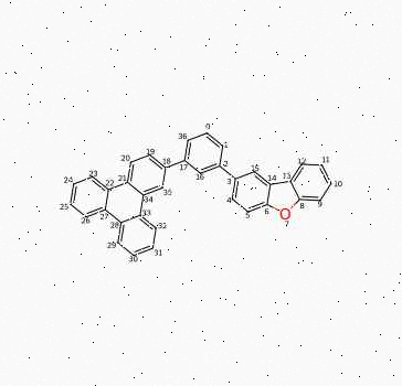 c1cc(-c2ccc3oc4ccccc4c3c2)cc(-c2ccc3c4ccccc4c4ccccc4c3c2)c1